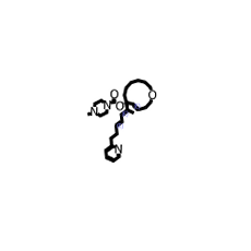 C/C(=C\C=C\CCc1ccccn1)[C@]1(OC(=O)N2CCN(C)CC2)/C=C/CCOCCCCCC1